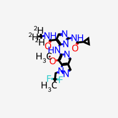 [2H]C([2H])([2H])NC(=O)c1cnc(NC(=O)C2CC2)nc1Nc1ncc2cnn(CC(C)(F)F)c2c1OC